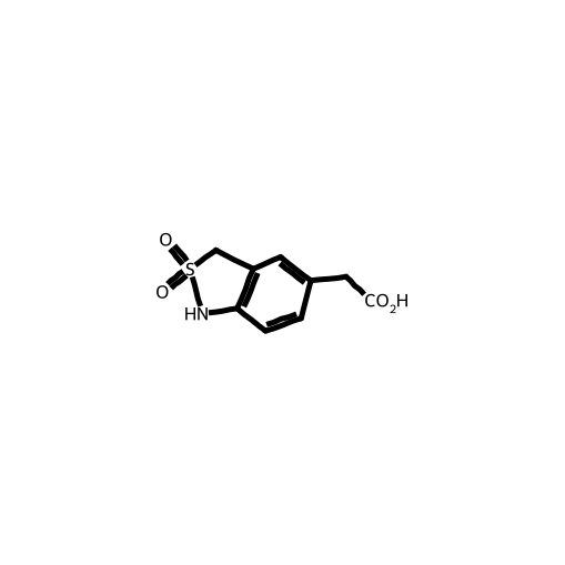 O=C(O)Cc1ccc2c(c1)CS(=O)(=O)N2